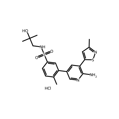 Cc1cc(-c2cc(-c3cc(S(=O)(=O)NCC(C)(C)O)ccc3C)cnc2N)sn1.Cl